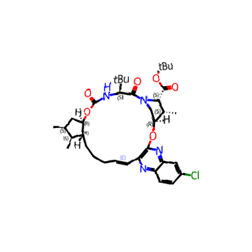 C[C@@H]1[C@@H]2CN(C(=O)[C@H](C(C)(C)C)NC(=O)O[C@@H]3C[C@H](C)[C@H](C)[C@H]3CCC/C=C/c3nc4ccc(Cl)cc4nc3O2)[C@@H]1C(=O)OC(C)(C)C